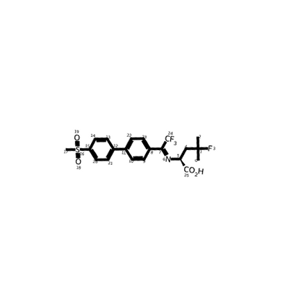 CC(C)(F)C[C@H](/N=C(/c1ccc(-c2ccc(S(C)(=O)=O)cc2)cc1)C(F)(F)F)C(=O)O